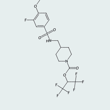 COc1ccc(S(=O)(=O)NCC2CCN(C(=O)OC(C(F)(F)F)C(F)(F)F)CC2)cc1F